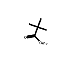 [CH2]C(C)(C)C(=O)OC